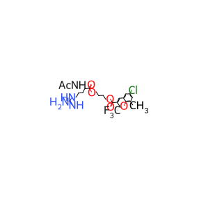 CC(=O)N[C@@H](CCCNC(=N)N)C(=O)OCCCCOC(=O)C1=Cc2cc(Cl)cc(C)c2O[C@@H]1C(F)(F)F